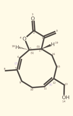 C=C1C(=O)O[C@@H]2/C=C(/C)CC/C=C(/CO)CC[C@@H]12